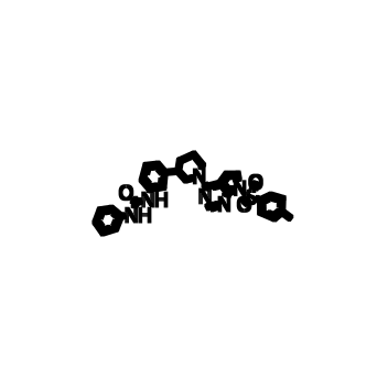 Cc1ccc(S(=O)(=O)n2ccc3c(N4CCCC(c5cccc(NC(=O)Nc6ccccc6)c5)C4)ncnc32)cc1